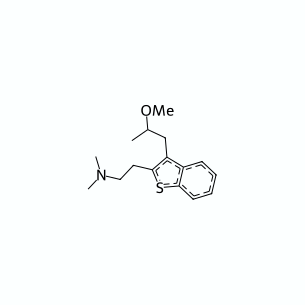 COC(C)Cc1c(CCN(C)C)sc2ccccc12